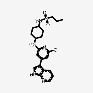 CCCS(=O)(=O)NC1CCC(Nc2cc(-c3c[nH]c4ncccc34)cc(Cl)n2)CC1